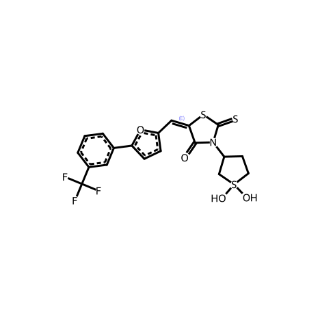 O=C1/C(=C\c2ccc(-c3cccc(C(F)(F)F)c3)o2)SC(=S)N1C1CCS(O)(O)C1